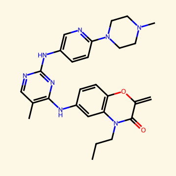 C=C1Oc2ccc(Nc3nc(Nc4ccc(N5CCN(C)CC5)nc4)ncc3C)cc2N(CCC)C1=O